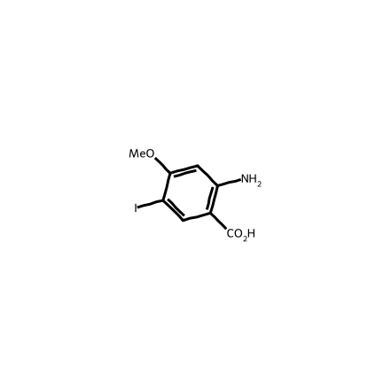 COc1cc(N)c(C(=O)O)cc1I